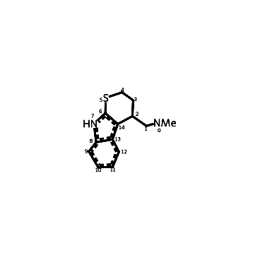 CNCC1CCSc2[nH]c3ccccc3c21